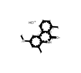 COc1cc(C)c2[nH]c(=O)c3c(C)cccc3c2c1.Cl